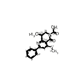 CSc1cc(-c2ccccc2)nc2c1C(=O)N(C(=O)O)CC2C